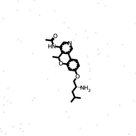 CC(=O)Nc1cncc2c1C(C)Oc1cc(OC[C@H](N)CC(C)C)ccc1-2